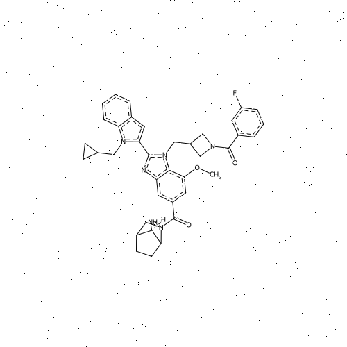 COc1cc(C(=O)N2CC3CCC2[C@@H]3N)cc2nc(-c3cc4ccccc4n3CC3CC3)n(CC3CN(C(=O)c4cccc(F)c4)C3)c12